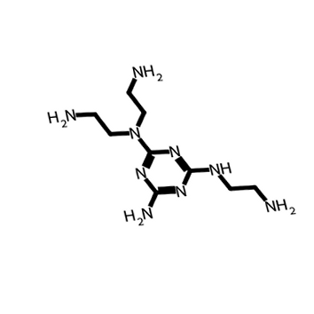 NCCNc1nc(N)nc(N(CCN)CCN)n1